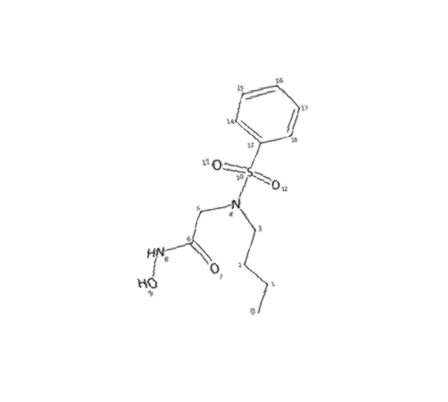 CCCCN(CC(=O)NO)S(=O)(=O)c1ccccc1